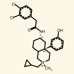 C[N@+]1(CC2CC2)CC[C@@]2(c3cccc(O)c3)C[C@@H](NC(=O)Cc3ccc(Cl)c(Cl)c3)CCC2C1